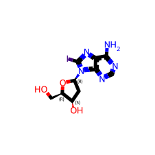 Nc1ncnc2c1nc(I)n2[C@H]1C[C@H](O)[C@@H](CO)O1